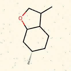 CC1COC2C[C@@H](C)CCC12